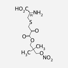 CC(C)(COC(=O)C(=O)CSC[C@H](N)C(=O)O)CO[N+](=O)[O-]